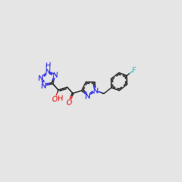 O=C(C=C(O)c1nn[nH]n1)c1ccn(Cc2ccc(F)cc2)n1